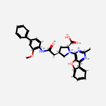 COc1cc(-c2ccccc2)ccc1NC(=O)C[C@H]1C[C@@H](C(=O)O)N(c2nc(C)nc3c2oc2ccccc23)C1